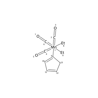 C[CH2][Mn](=[C]=O)(=[C]=O)(=[C]=O)([CH2]C)[C]1=CC=CC1